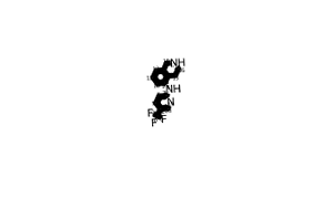 FC(F)(F)c1ccc(Nc2cccc3c2CCNC3)nc1